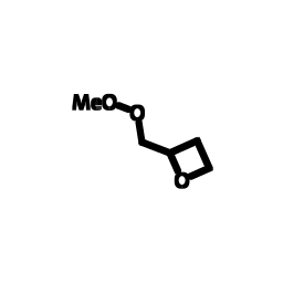 COOCC1CCO1